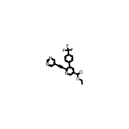 CCOC(=O)c1cnc(C#Cc2cncnc2)c(-c2ccc(C(F)(F)F)cc2)c1